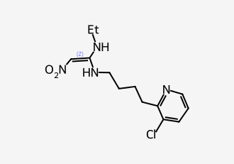 CCN/C(=C/[N+](=O)[O-])NCCCCc1ncccc1Cl